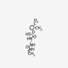 CSNC(=O)NCCNC(=O)C(S)Oc1cccc(C)c1C